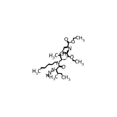 CCCCCCN(C(=O)[C@@H](N=[N+]=[N-])[C@@H](C)CC)[C@H](C[C@@H](OCC)c1nc(C(=O)OCC)cs1)C(C)C